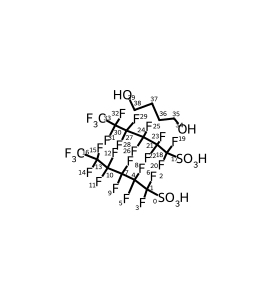 O=S(=O)(O)C(F)(F)C(F)(F)C(F)(F)C(F)(F)C(F)(F)C(F)(F)F.O=S(=O)(O)C(F)(F)C(F)(F)C(F)(F)C(F)(F)C(F)(F)C(F)(F)F.OCCCCO